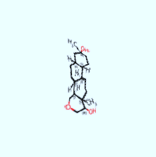 C[C@@]1(O)CC[C@H]2[C@H](CC[C@@H]3[C@@H]2CC[C@]2(C)[C@@H](O)COC[C@@H]32)C1